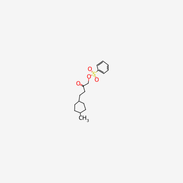 CC1CCC(CCC(=O)COS(=O)(=O)c2ccccc2)CC1